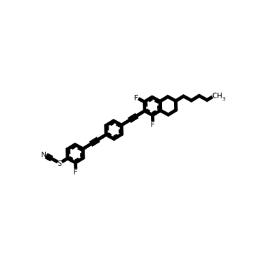 CCCCCC1CCc2c(cc(F)c(C#Cc3ccc(C#Cc4ccc(SC#N)c(F)c4)cc3)c2F)C1